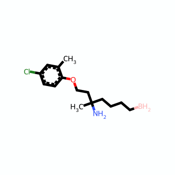 BCCCCC(C)(N)CCOc1ccc(Cl)cc1C